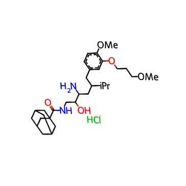 COCCCOc1cc(CC(CC(N)C(O)CNC(=O)C23CC4CC(CC(C4)C2)C3)C(C)C)ccc1OC.Cl